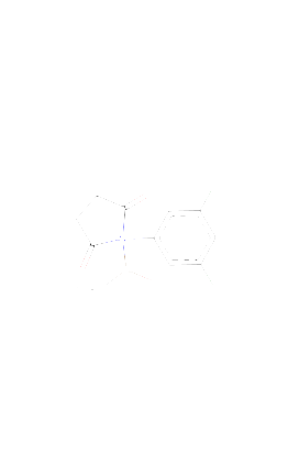 CCCCCCCC[S+]([O-])[N+]1(c2cc(Cl)cc(Cl)c2)C(=O)CCC1=O